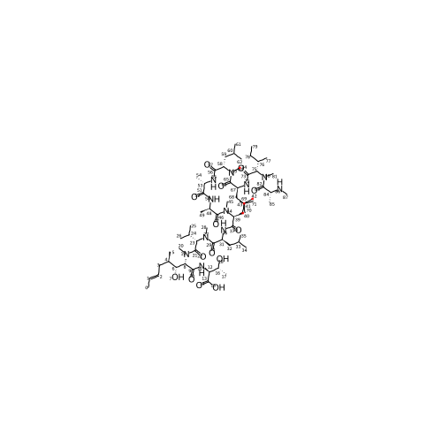 CC=CC[C@@H](C)[C@@H](O)[C@@H](C(=O)N[C@H](C(=O)O)[C@@H](C)O)N(C)C(=O)[C@H](C(C)C)N(C)C(=O)[C@H](CC(C)C)NC(=O)[C@H](CC(C)C)N(C)C(=O)[C@@H](C)NC(=O)[C@H](C)NC(=O)[C@H](CC(C)C)N(C)C(=O)[C@H](CC(C)C)NC(=O)[C@H](C(C)CC)N(C)C(=O)[C@@H](C)NC